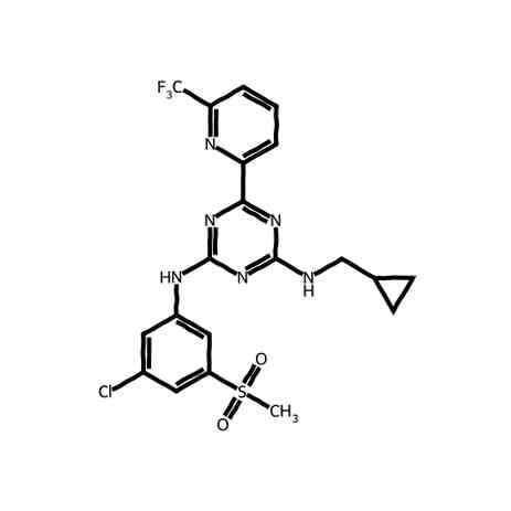 CS(=O)(=O)c1cc(Cl)cc(Nc2nc(NCC3CC3)nc(-c3cccc(C(F)(F)F)n3)n2)c1